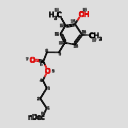 CCCCCCCCCCCCCCOC(=O)CCc1cc(C)c(O)c(C)c1